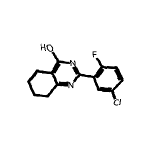 Oc1nc(-c2cc(Cl)ccc2F)nc2c1CCCC2